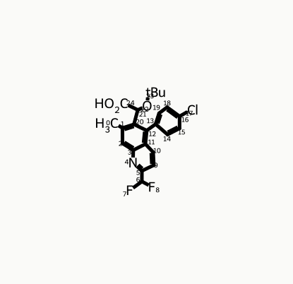 Cc1cc2nc(C(F)F)ccc2c(-c2ccc(Cl)cc2)c1C(OC(C)(C)C)C(=O)O